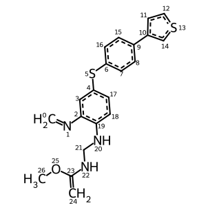 C=Nc1cc(Sc2ccc(-c3ccsc3)cc2)ccc1NCNC(=C)OC